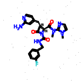 CN(C(=O)[C@@H]1[C@@H](Cc2ccnc(N)c2)C(=O)N1C(=O)NCc1cccc(F)c1)c1nccn1C